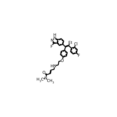 CC/C(=C(/c1ccc(OCCNC/C=C/C(=O)N(C)C)cc1)c1ccc2[nH]nc(F)c2c1)c1ccc(F)cc1Cl